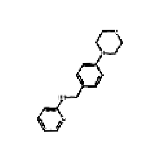 c1ccc(NCc2ccc(N3CCOCC3)cc2)nc1